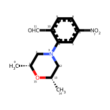 C[C@@H]1CN(c2cc([N+](=O)[O-])ccc2C=O)C[C@H](C)O1